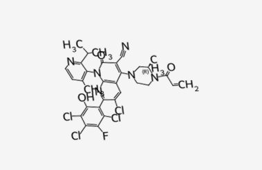 C=CC(=O)N1CCN(c2c(C#N)c(=O)n(-c3c(C)ccnc3C(C)C)c3nc(-c4c(O)c(Cl)c(Cl)c(F)c4Cl)c(Cl)cc23)C[C@H]1C